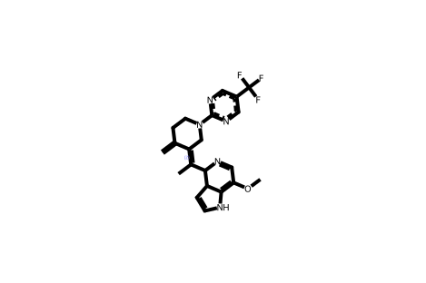 C=C1CCN(c2ncc(C(F)(F)F)cn2)C/C1=C(/C)C1N=CC(OC)=C2NC=CC21